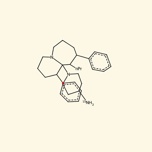 CCCC1C(c2ccccc2)CCCN2CCCC(c3ccccc3)C12N1CCC([15NH2])CC1